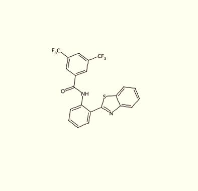 O=C(Nc1ccccc1-c1nc2ccccc2s1)c1cc(C(F)(F)F)cc(C(F)(F)F)c1